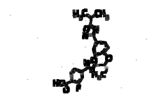 CC[C@@H](Oc1ccc(-c2noc(C(C)C)n2)cc1)c1nc(-c2ccc(C(=O)O)c(F)c2)no1